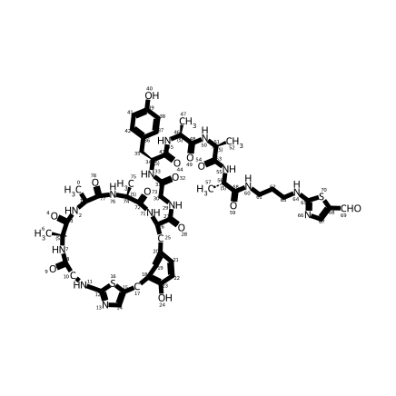 CC1NC(=O)[C@H](C)NC(=O)CNc2ncc(s2)Cc2cc(ccc2O)CC(C(=O)NCC(=O)N[C@@H](Cc2ccc(O)cc2)C(=O)N[C@@H](C)C(=O)N[C@@H](C)C(=O)N[C@@H](C)C(=O)NCCCNc2ncc(C=O)s2)NC(=O)[C@H](C)NC1=O